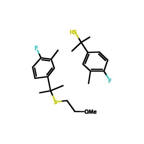 COCCSC(C)(C)c1ccc(F)c(C)c1.Cc1cc(C(C)(C)S)ccc1F